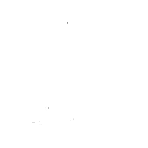 C#CCc1ccc(C(=O)OC)c2ccccc12